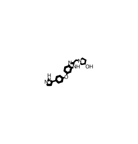 O[C@H]1CCN(Cc2nc3ccc(Oc4ccc(-c5ccn[nH]5)cc4)cc3[nH]2)C1